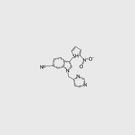 N#Cc1ccc2c([SH]3C=CC=C3[N+](=O)[O-])cn(Cc3ccncn3)c2c1